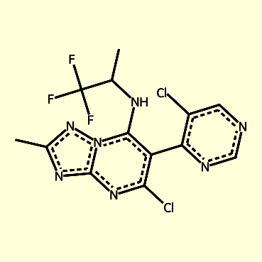 Cc1nc2nc(Cl)c(-c3ncncc3Cl)c(NC(C)C(F)(F)F)n2n1